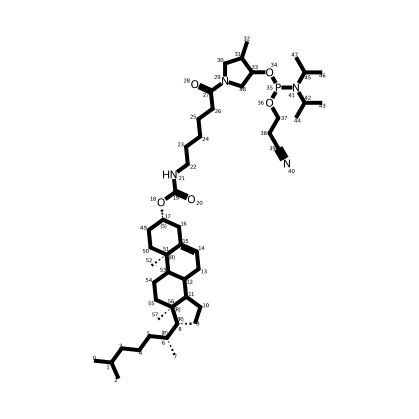 CC(C)CCC[C@@H](C)[C@H]1CCC2C3CC=C4C[C@@H](OC(=O)NCCCCCC(=O)N5CC(C)C(OP(OCCC#N)N(C(C)C)C(C)C)C5)CC[C@]4(C)C3CC[C@@]21C